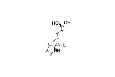 NC1(CCCCB(O)O)CCCN1